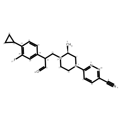 C[C@H]1CN(c2ccc(C#N)nn2)CCN1CC(C=O)c1ccc(C2CC2)c(F)c1